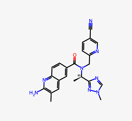 Cc1cc2cc(C(=O)N(Cc3ccc(C#N)cn3)[C@H](C)c3ncn(C)n3)ccc2nc1N